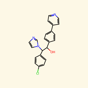 OC(c1ccc(-c2ccncc2)cc1)C(c1ccc(Cl)cc1)n1ccnc1